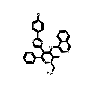 CCn1nc(-c2ccccc2)c(-c2csc(-c3ccc(Cl)cc3)n2)c(Nc2cncc3ccccc23)c1=O